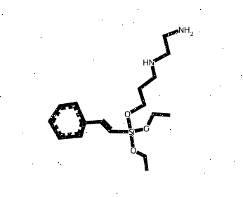 CCO[Si](C=Cc1ccccc1)(OCC)OCCCNCCN